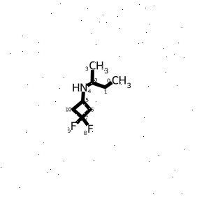 CCC(C)NC1CC(F)(F)C1